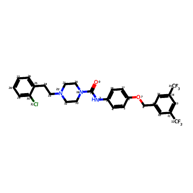 O=C(Nc1ccc(OCc2cc(C(F)(F)F)cc(C(F)(F)F)c2)cc1)N1CCN(CCc2ccccc2Cl)CC1